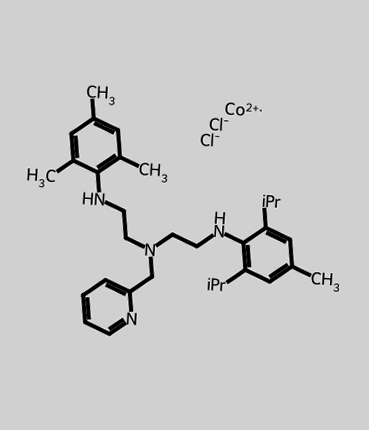 Cc1cc(C)c(NCCN(CCNc2c(C(C)C)cc(C)cc2C(C)C)Cc2ccccn2)c(C)c1.[Cl-].[Cl-].[Co+2]